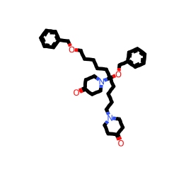 O=C1CCN(CCCCC(CCCCCOCc2ccccc2)(OCc2ccccc2)N2CCC(=O)CC2)CC1